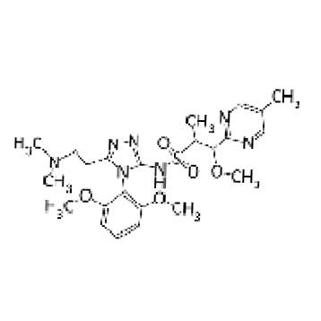 COc1cccc(OC)c1-n1c(CCN(C)C)nnc1NS(=O)(=O)C(C)C(OC)c1ncc(C)cn1